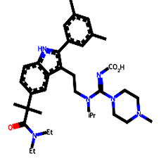 CCN(CC)C(=O)C(C)(C)c1ccc2[nH]c(-c3cc(C)cc(C)c3)c(CCN(C(=NC(=O)O)N3CCN(C)CC3)C(C)C)c2c1